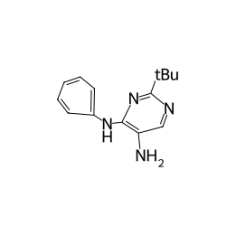 CC(C)(C)c1ncc(N)c(Nc2ccccc2)n1